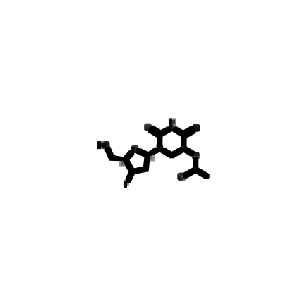 CC(Cl)OC1CN([C@H]2CC(F)[C@@H](CO)O2)C(=O)NC1=O